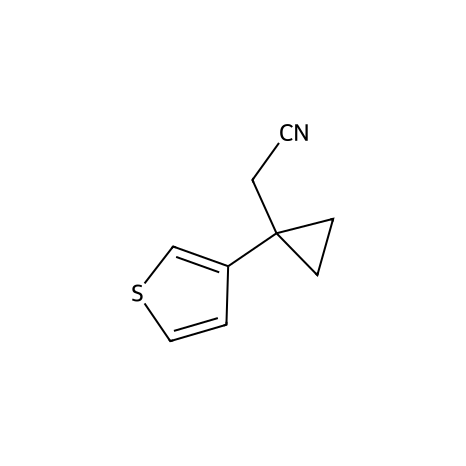 N#CCC1(c2ccsc2)CC1